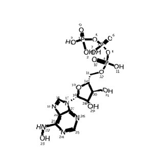 O=P(O)(O)OP(=O)(O)OP(=O)(O)OC[C@H]1O[C@@H](n2cnc3c(NO)ncnc32)[C@H](O)[C@@H]1O